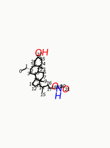 CC[C@H]1CC2C(CCC3(C)C2CCC3[C@H](C)CCONC=O)C2(C)CC[C@@H](O)CC12